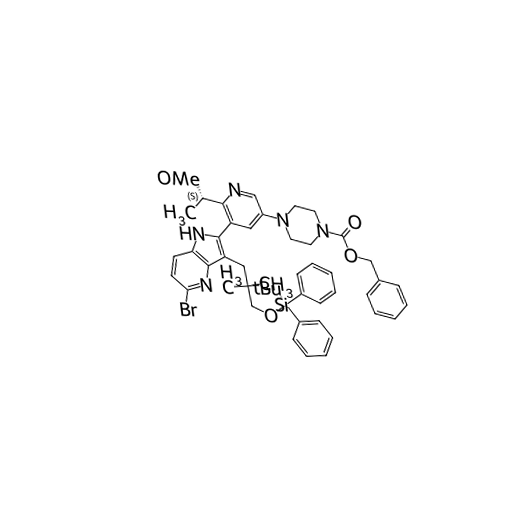 CO[C@@H](C)c1ncc(N2CCN(C(=O)OCc3ccccc3)CC2)cc1-c1[nH]c2ccc(Br)nc2c1CC(C)(C)CO[Si](c1ccccc1)(c1ccccc1)C(C)(C)C